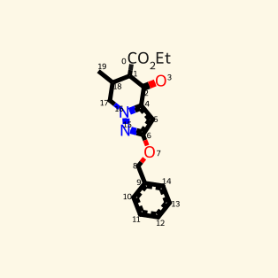 CCOC(=O)C1C(=O)c2cc(OCc3ccccc3)nn2CC1C